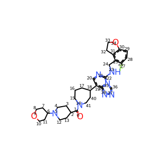 O=C(C1CCN(C2CCOCC2)CC1)N1CCCC(c2cnc(NCc3c(F)ccc4c3CCO4)n3cnnc23)CC1